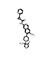 Cc1cc2cnc(NC(=O)C3CC3c3ccccn3)cc2cc1C1CCN(C2(C)COCC2F)CC1